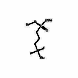 CCOP(=O)(CCC[Si](F)(F)C(C)(C)C)OC